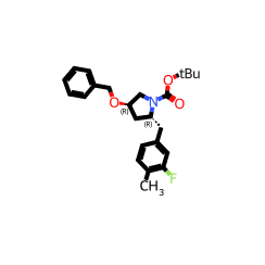 Cc1ccc(C[C@@H]2C[C@@H](OCc3ccccc3)CN2C(=O)OC(C)(C)C)cc1F